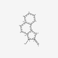 Cn1c(=O)oc2c3ccccc3ccc21